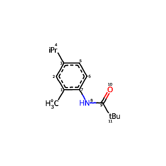 Cc1cc(C(C)C)ccc1NC(=O)C(C)(C)C